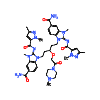 CCn1nc(C)cc1C(=O)N=c1n(C)c2cc(C(N)=O)ccc2n1CCC(CCn1c(=NC(=O)c2cc(C)nn2CC)n(C)c2cc(C(N)=O)ccc21)OCC(=O)N1CCN(C(C)=O)CC1